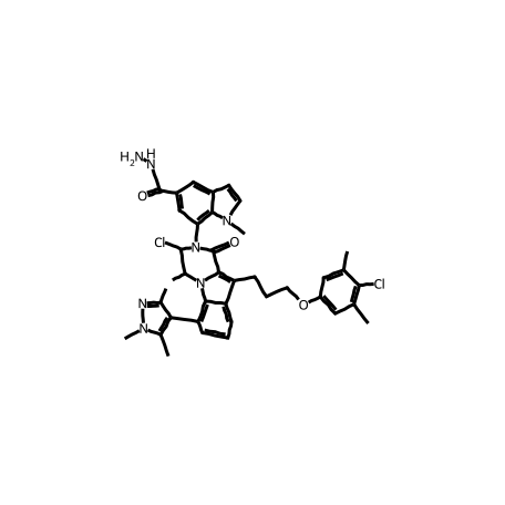 Cc1cc(OCCCc2c3n(c4c(-c5c(C)nn(C)c5C)cccc24)C(C)C(Cl)N(c2cc(C(=O)NN)cc4ccn(C)c24)C3=O)cc(C)c1Cl